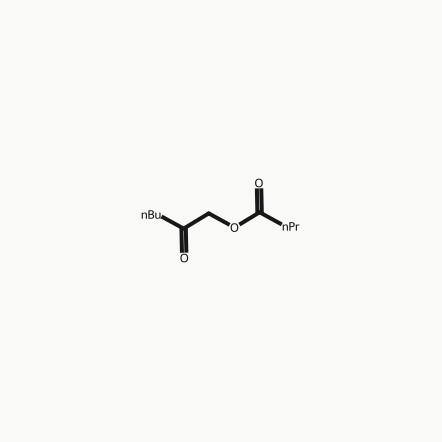 [CH2]CCC(=O)OCC(=O)CCCC